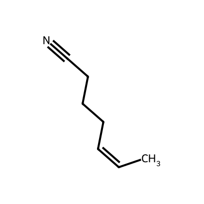 C/C=C\CCCC#N